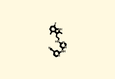 Cc1[nH]c2c(F)ccc(C)c2c1CCNc1cc(Nc2cc(C#N)ccn2)ncn1